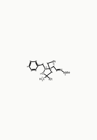 CCC1(C)C[C@@](C/C=N/NC)(CC(C)C)N(Cc2ccccc2)O1